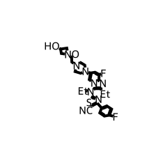 CCc1nc2c(F)cc(N3CCN(CC(=O)N4CC(O)C4)CC3)cn2c1N(CC)c1nc(-c2ccc(F)cc2)c(C#N)s1